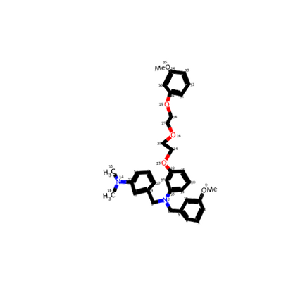 COc1cccc(CN(Cc2cccc(N(C)C)c2)c2cccc(OCCOCCOc3cccc(OC)c3)c2)c1